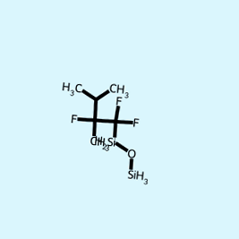 CC(C)C(C)(F)C(F)(F)[SiH2]O[SiH3]